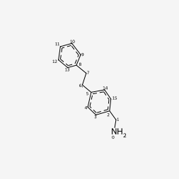 NCc1ccc([CH]Cc2ccccc2)cc1